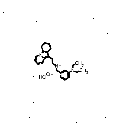 CCN(CC)c1cccc(CNCCc2c3c(n4ccccc24)CCCC3)c1.Cl.Cl